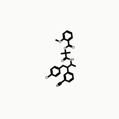 COc1ccccc1C(=O)OC(C)(C)C(=O)NC(C)C(Cc1ccc(Cl)cc1)c1cccc(C#N)c1